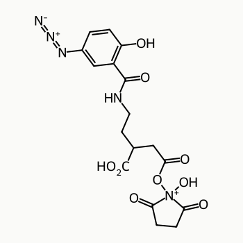 [N-]=[N+]=Nc1ccc(O)c(C(=O)NCCC(CC(=O)O[N+]2(O)C(=O)CCC2=O)C(=O)O)c1